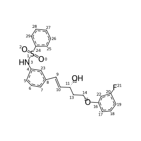 O=S(=O)(Nc1cccc(/C=C/[C@H](O)CCOc2[c]ccc(F)c2)c1)c1ccccc1